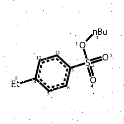 CCCCOS(=O)(=O)c1ccc(CC)cc1